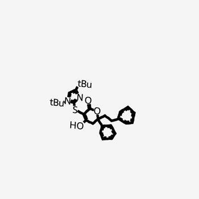 CC(C)(C)c1cn(C(C)(C)C)c(SC2=C(O)CC(CCc3ccccc3)(c3ccccc3)OC2=O)n1